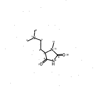 CN(C)CCC1C(=O)NC(=O)N1C